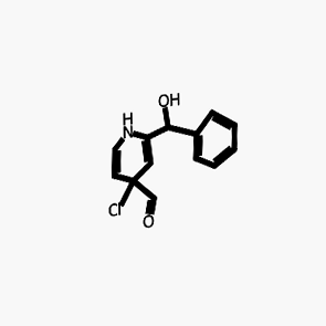 O=CC1(Cl)C=CNC(C(O)c2ccccc2)=C1